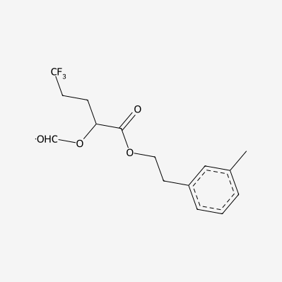 Cc1cccc(CCOC(=O)C(CCC(F)(F)F)O[C]=O)c1